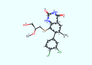 CCO[C@@H](CO)CSc1c(-c2ccc(F)c(Cl)c2)c(C)cc2c(=O)[nH]c(=O)[nH]c12